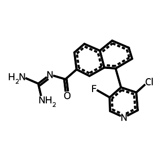 NC(N)=NC(=O)c1ccc2cccc(-c3c(F)cncc3Cl)c2c1